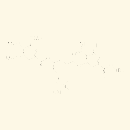 COc1cc(C(=O)OC(CCCOc2cc(C(=O)OC(C)(C)C)cc(Cl)c2C(N)=O)CCO[Si](C)(C)C(C)(C)C)cc(OC)c1OC